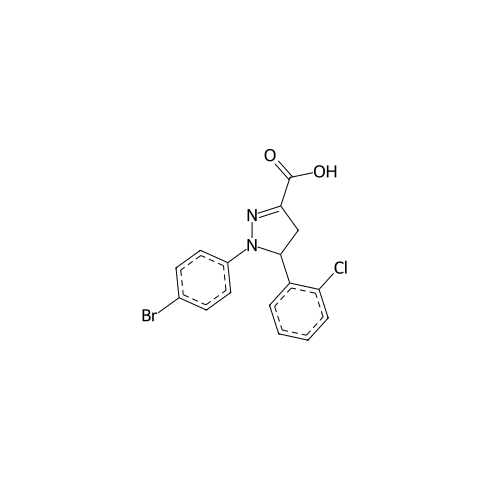 O=C(O)C1=NN(c2ccc(Br)cc2)C(c2ccccc2Cl)C1